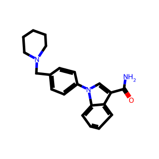 NC(=O)c1cn(-c2ccc(CN3CCCCC3)cc2)c2ccccc12